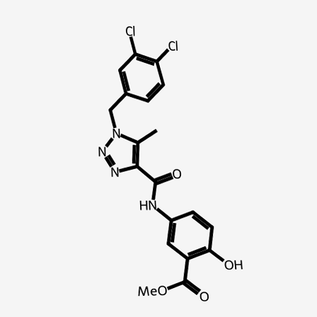 COC(=O)c1cc(NC(=O)c2nnn(Cc3ccc(Cl)c(Cl)c3)c2C)ccc1O